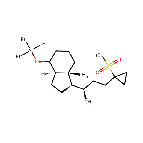 CC[Si](CC)(CC)O[C@H]1CCC[C@]2(C)[C@@H]([C@H](C)CCC3(S(=O)(=O)C(C)(C)C)CC3)CC[C@@H]12